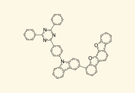 c1ccc(-c2nc(-c3ccccc3)nc(-c3ccc(-n4c5ccccc5c5cc(-c6cccc7c6oc6c7ccc7c8ccccc8oc76)ccc54)cc3)n2)cc1